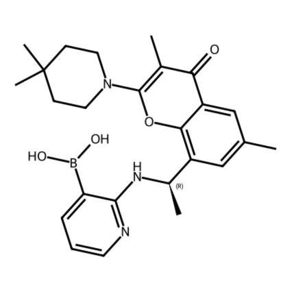 Cc1cc([C@@H](C)Nc2ncccc2B(O)O)c2oc(N3CCC(C)(C)CC3)c(C)c(=O)c2c1